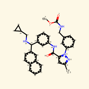 CC(C)(C)OC(=O)NCc1cccc(-n2nc(C(F)(F)F)cc2C(=O)Nc2cccc(C(NCC3CC3)c3ccc4ccccc4c3)c2)c1